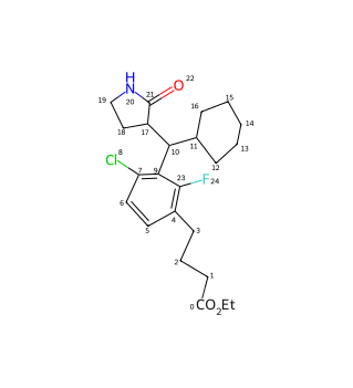 CCOC(=O)CCCc1ccc(Cl)c(C(C2CCCCC2)C2CCNC2=O)c1F